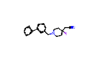 N#CCC1(I)CCN(Cc2cccc(-c3ccccc3)c2)CC1